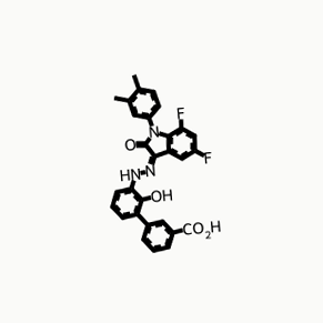 Cc1ccc(N2C(=O)C(=NNc3cccc(-c4cccc(C(=O)O)c4)c3O)c3cc(F)cc(F)c32)cc1C